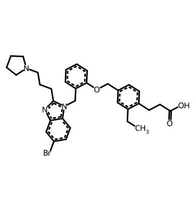 CCc1cc(COc2ccccc2Cn2c(CCCN3CCCC3)nc3cc(Br)ccc32)ccc1CCC(=O)O